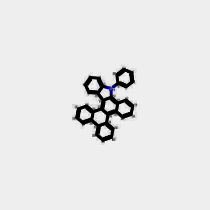 c1ccc(-n2c3ccccc3c3c4c5ccccc5c5ccccc5c4c4ccccc4c32)cc1